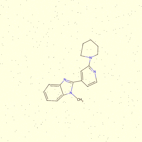 Cn1c(-c2ccnc(N3CCCCC3)c2)nc2ccccc21